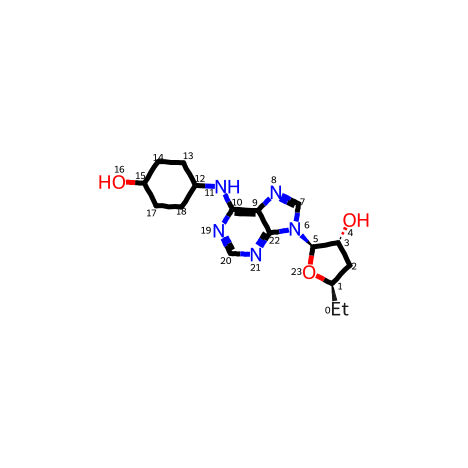 CC[C@@H]1C[C@@H](O)[C@H](n2cnc3c(NC4CCC(O)CC4)ncnc32)O1